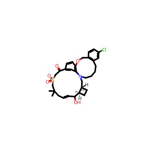 CC1(C)C/C=C/C(O)[C@@H]2CC[C@H]2CN2CCCCc3cc(Cl)ccc3COc3ccc(cc32)C(=O)CS(=O)(=O)C1